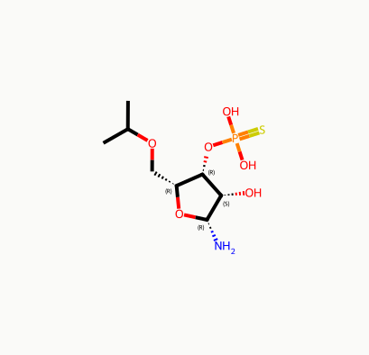 CC(C)OC[C@H]1O[C@@H](N)[C@@H](O)[C@H]1OP(O)(O)=S